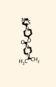 CC(C)N1CCN(C(=O)OC2CCN(c3cncs3)CC2)CC1